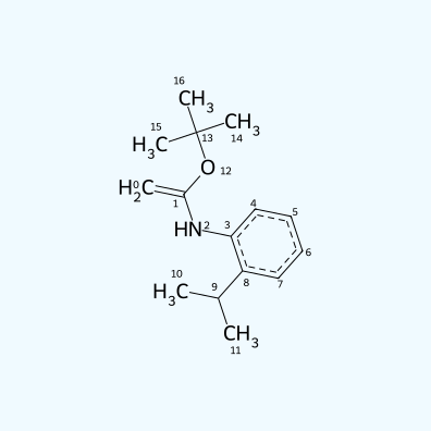 C=C(Nc1ccccc1C(C)C)OC(C)(C)C